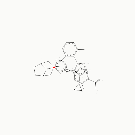 Cc1cc(-c2nc(N3[C@@H]4CC[C@H]3C[C@@H](OCc3c(-c5c(Cl)cccc5Cl)noc3C3CC3)C4)no2)ccc1C(=O)O